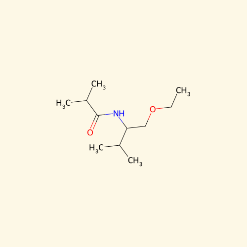 CCOCC(NC(=O)C(C)C)C(C)C